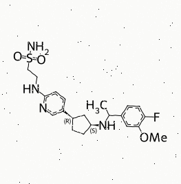 COc1cc(C(C)N[C@H]2CC[C@@H](c3ccc(NCCS(N)(=O)=O)nc3)C2)ccc1F